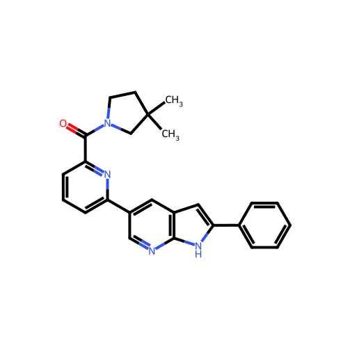 CC1(C)CCN(C(=O)c2cccc(-c3cnc4[nH]c(-c5ccccc5)cc4c3)n2)C1